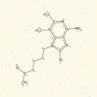 CCc1nc2c(N)nc(C)c(C)c2n1CCCC[S+](C)[O-]